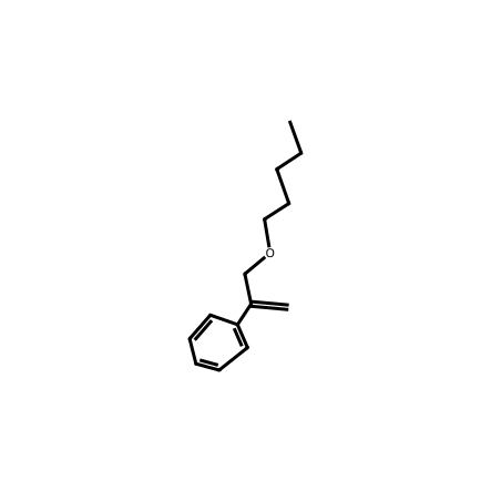 C=C(COCCCCC)c1ccccc1